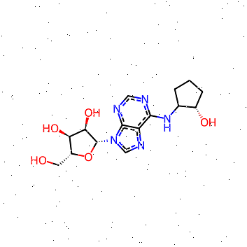 OC[C@H]1O[C@@H](n2cnc3c(NC4CCC[C@@H]4O)ncnc32)[C@H](O)[C@@H]1O